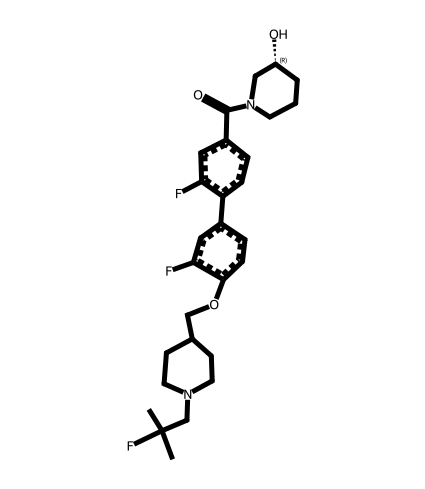 CC(C)(F)CN1CCC(COc2ccc(-c3ccc(C(=O)N4CCC[C@@H](O)C4)cc3F)cc2F)CC1